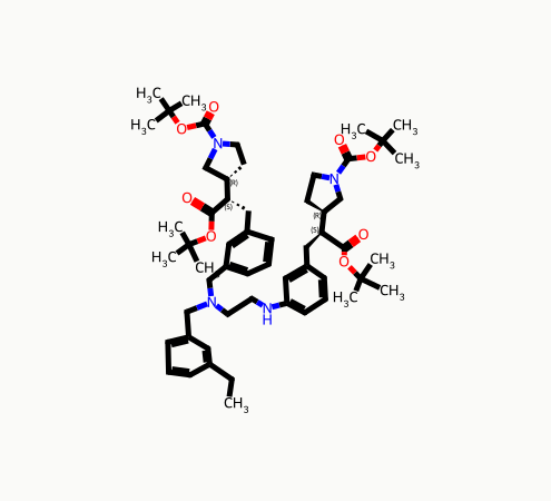 CCc1cccc(CN(CCNc2cccc(C[C@H](C(=O)OC(C)(C)C)[C@H]3CCN(C(=O)OC(C)(C)C)C3)c2)Cc2cccc(C[C@H](C(=O)OC(C)(C)C)[C@H]3CCN(C(=O)OC(C)(C)C)C3)c2)c1